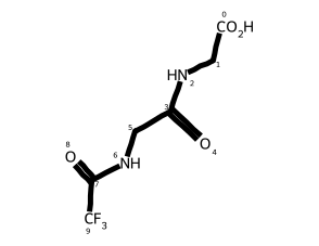 O=C(O)CNC(=O)CNC(=O)C(F)(F)F